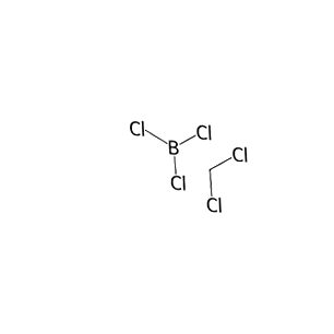 ClB(Cl)Cl.ClCCl